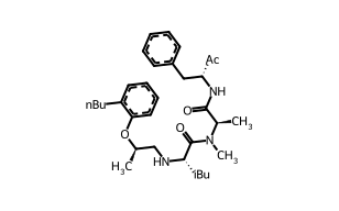 CCCCc1ccccc1O[C@H](C)CN[C@H](C(=O)N(C)[C@H](C)C(=O)N[C@H](Cc1ccccc1)C(C)=O)C(C)CC